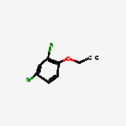 O=[C]COc1ccc(Br)cc1Br